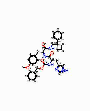 COc1ccc(CC(=NC(=O)C(Cc2c[nH]cn2)NC(=O)OCc2ccccc2)C(=O)NCC2(c3ccccc3)CCC2)cc1